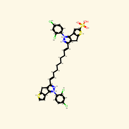 O=S(=O)(O)c1cc2c(s1)Cc1c(/C=C/CCCCCC/C=C/c3nn(-c4ccc(Cl)cc4Cl)c4c3Cc3sccc3-4)nn(-c3ccc(Cl)cc3Cl)c1-2